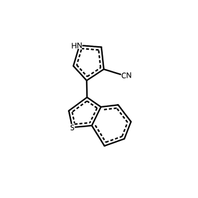 N#Cc1c[nH]cc1-c1csc2ccccc12